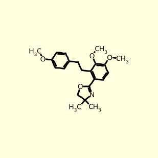 COc1ccc(CCc2c(C3=NC(C)(C)CO3)ccc(OC)c2OC)cc1